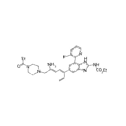 C=C/C(=C\C=C(/N)CN1CCN(C(=O)CC)CC1)c1cc(-c2ncccc2F)c2[nH]c(NC(=O)OCC)nc2c1